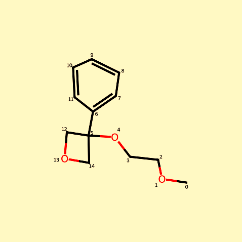 COCCOC1(c2cc[c]cc2)COC1